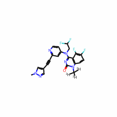 [2H]C([2H])([2H])n1c(=O)nc(N(CC(F)F)c2ccnc(C#Cc3cnn(C)c3)c2)c2c(F)c(F)ccc21